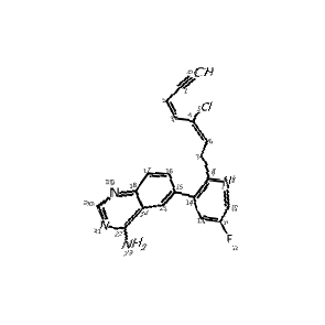 C#C/C=C\C(Cl)=C/Cc1ncc(F)cc1-c1ccc2ncnc(N)c2c1